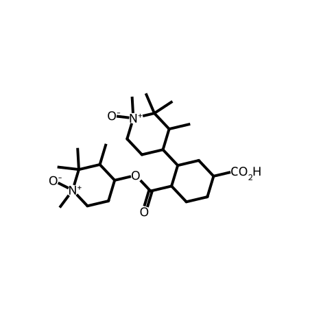 CC1C(OC(=O)C2CCC(C(=O)O)CC2C2CC[N+](C)([O-])C(C)(C)C2C)CC[N+](C)([O-])C1(C)C